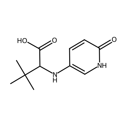 CC(C)(C)C(Nc1ccc(=O)[nH]c1)C(=O)O